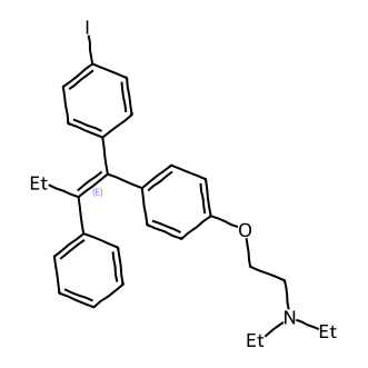 CC/C(=C(\c1ccc(I)cc1)c1ccc(OCCN(CC)CC)cc1)c1ccccc1